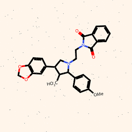 COc1ccc(C2C(C(=O)O)C(c3ccc4c(c3)OCO4)CN2CCN2C(=O)c3ccccc3C2=O)cc1